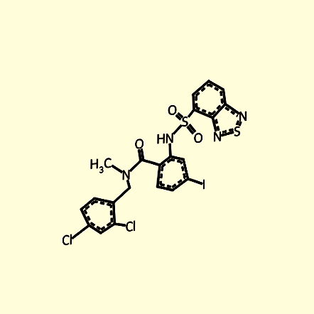 CN(Cc1ccc(Cl)cc1Cl)C(=O)c1ccc(I)cc1NS(=O)(=O)c1cccc2nsnc12